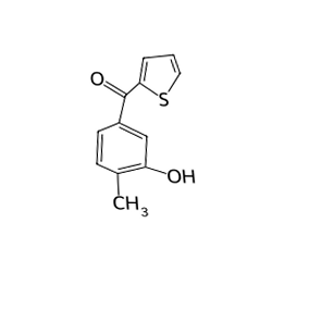 Cc1ccc(C(=O)c2cccs2)cc1O